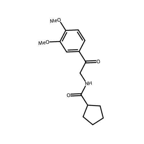 COc1ccc(C(=O)CNC(=O)C2CCCC2)cc1OC